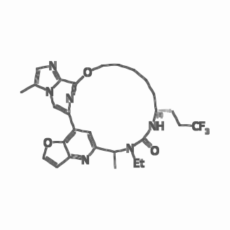 CCN1C(=O)N[C@@H](CCC(F)(F)F)CCCCCOc2nc(cn3c(C)cnc23)-c2cc(nc3ccoc23)C1C